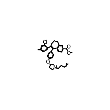 COC(=O)c1ccc2c(c1)CCCC(c1ccc(C)cc1Cl)=C2c1ccc(OC2CCN(CCCF)C2)cc1